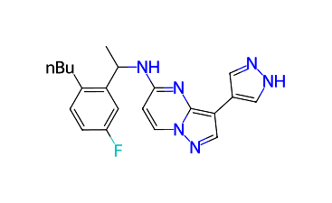 CCCCc1ccc(F)cc1C(C)Nc1ccn2ncc(-c3cn[nH]c3)c2n1